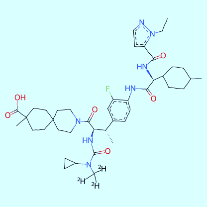 [2H]C([2H])([2H])N(C(=O)N[C@@H](C(=O)N1CCC2(CC1)CCC(C)(C(=O)O)CC2)[C@@H](C)c1ccc(NC(=O)[C@@H](NC(=O)c2ccnn2CC)C2CCC(C)CC2)c(F)c1)C1CC1